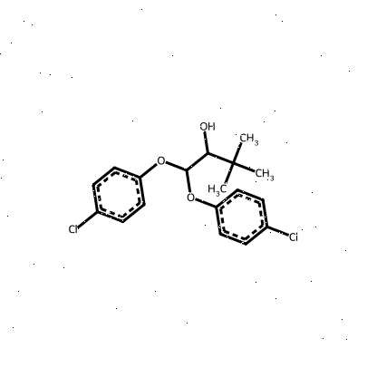 CC(C)(C)C(O)C(Oc1ccc(Cl)cc1)Oc1ccc(Cl)cc1